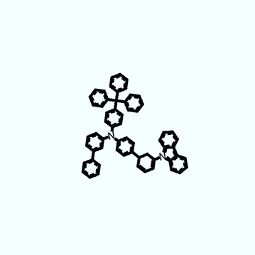 C1=CC(c2ccc(N(c3ccc(C(c4ccccc4)(c4ccccc4)c4ccccc4)cc3)c3cccc(-c4ccccc4)c3)cc2)CC(n2c3ccccc3c3ccccc32)=C1